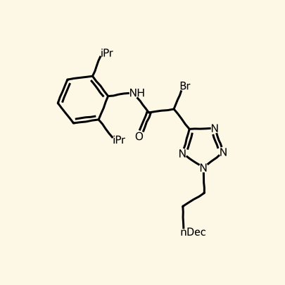 CCCCCCCCCCCCn1nnc(C(Br)C(=O)Nc2c(C(C)C)cccc2C(C)C)n1